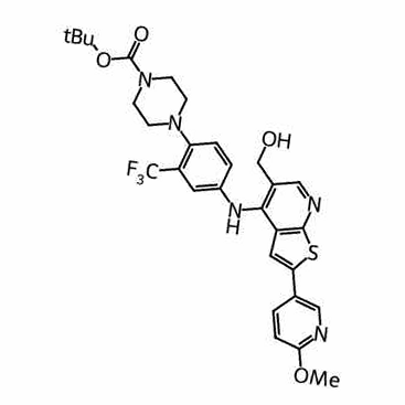 COc1ccc(-c2cc3c(Nc4ccc(N5CCN(C(=O)OC(C)(C)C)CC5)c(C(F)(F)F)c4)c(CO)cnc3s2)cn1